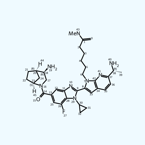 C=C(CCCCCn1c(-c2nc3cc(C(=O)N4C[C@H](N)[C@@H]5CC[C@H]4C5)cc(F)c3n2C2CC2)cc2ccc([C@@H](C)N)nc21)NC